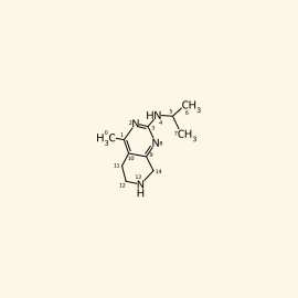 Cc1nc(NC(C)C)nc2c1CCNC2